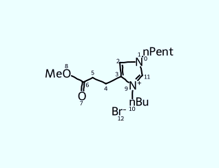 CCCCCn1cc(CCC(=O)OC)[n+](CCCC)c1.[Br-]